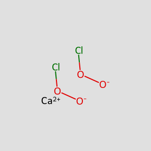 [Ca+2].[O-]OCl.[O-]OCl